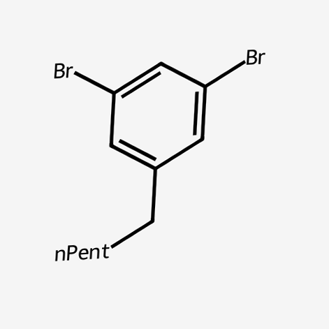 CCCCCCc1cc(Br)cc(Br)c1